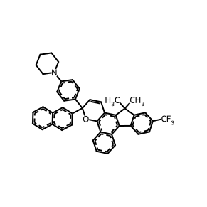 CC1(C)c2cc(C(F)(F)F)ccc2-c2c1c1c(c3ccccc23)OC(c2ccc(N3CCCCC3)cc2)(c2ccc3ccccc3c2)C=C1